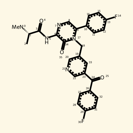 CN[C@@H](C)C(=O)Nc1ncc(-c2ccc(F)cc2)n(Cc2cncc(C(=O)c3ccc(F)cc3)c2)c1=O